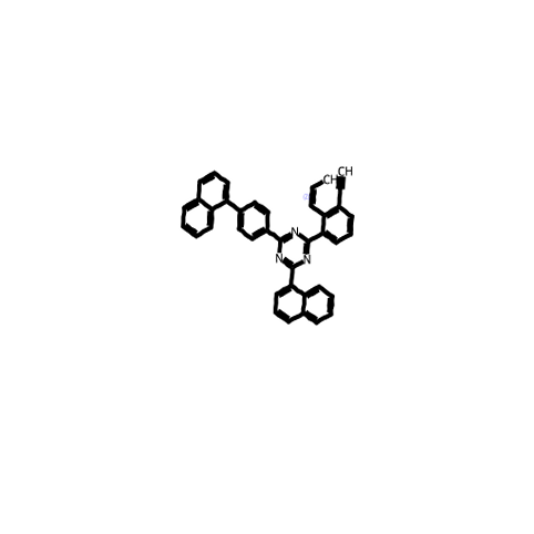 C#Cc1cccc(-c2nc(-c3ccc(-c4cccc5ccccc45)cc3)nc(-c3cccc4ccccc34)n2)c1/C=C\C